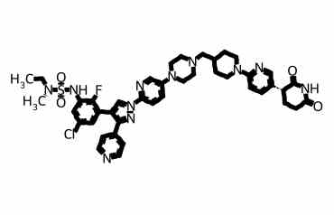 CCN(C)S(=O)(=O)Nc1cc(Cl)cc(-c2cn(-c3ccc(N4CCN(CC5CCN(c6ccc([C@H]7CCC(=O)NC7=O)cn6)CC5)CC4)cn3)nc2-c2ccncc2)c1F